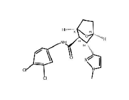 Cn1ccc([C@@H]2[C@@H](C(=O)Nc3ccc(Cl)c(Cl)c3)[C@H]3CC[C@@H]2O3)n1